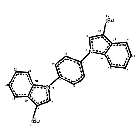 CC(C)(C)c1cn(-c2ccc(-n3cc(C(C)(C)C)c4ccccc43)cc2)c2ccccc12